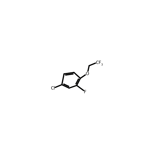 Fc1cc(Cl)ccc1OCC(F)(F)F